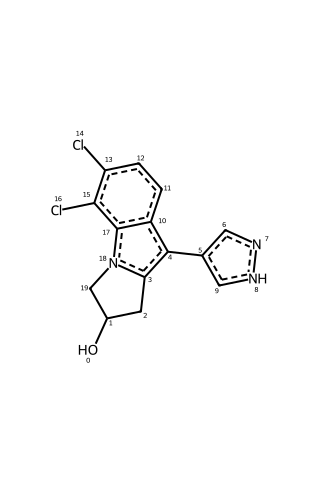 OC1Cc2c(-c3cn[nH]c3)c3ccc(Cl)c(Cl)c3n2C1